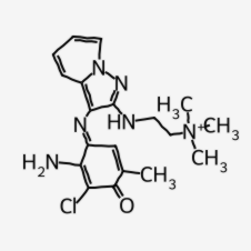 CC1=C/C(=N\c2c(NCC[N+](C)(C)C)nn3ccccc23)C(N)=C(Cl)C1=O